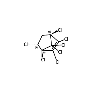 ClC1=C(Cl)[C@]2(Cl)[C@H](Cl)C[C@@]1(Cl)C2(Cl)Cl